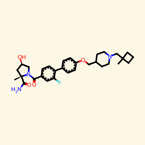 CC1(CN2CCC(COc3ccc(-c4ccc(C(=O)N5C[C@H](O)C[C@@]5(C)C(N)=O)cc4F)cc3)CC2)CCC1